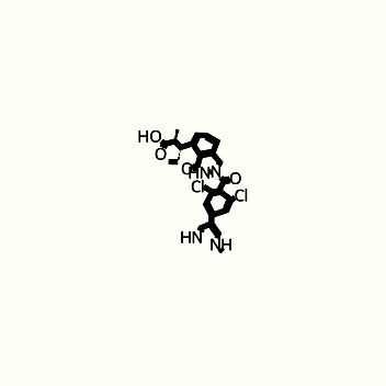 CC[C@@H](c1cccc2c1C(=O)NN(C(=O)c1c(Cl)cc(/C(C=N)=C/NC)cc1Cl)C2)[C@H](C)C(=O)O